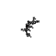 CCc1c2c(nc3ccc(O)cc13)-c1cc3c(c(=O)n1C2)COC(=O)[C@@]3(CC)OC(=O)OCC(C)(C)SSCCOC(C)=O